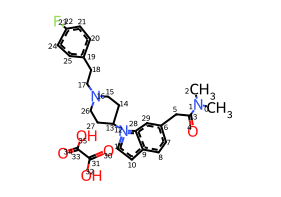 CN(C)C(=O)Cc1ccc2ccn(C3CCN(CCc4ccc(F)cc4)CC3)c2c1.O=C(O)C(=O)O